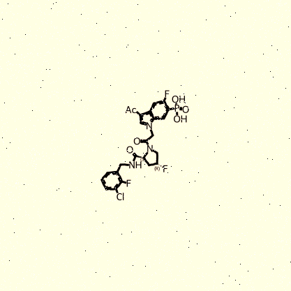 CC(=O)c1cn(CC(=O)N2C[C@H](F)C[C@H]2C(=O)NCc2cccc(Cl)c2F)c2cc(P(=O)(O)O)c(F)cc12